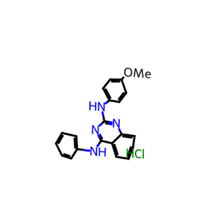 COc1ccc(Nc2nc(Nc3ccccc3)c3ccccc3n2)cc1.Cl